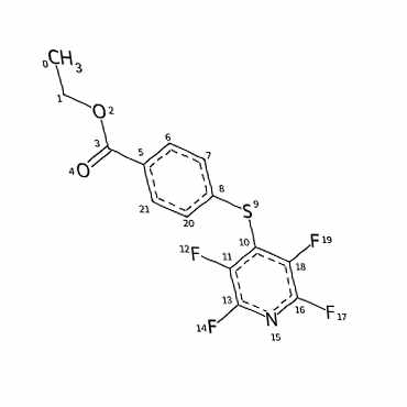 CCOC(=O)c1ccc(Sc2c(F)c(F)nc(F)c2F)cc1